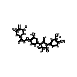 CCc1cc(N2C(=S)N(c3ccc(C#N)c(C(F)(F)F)c3)C(=O)C2(C)C)ccc1OCC(C)N1C[C@@H](C)N[C@@H](C)C1